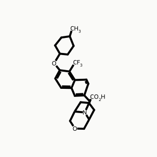 CC1CCC(Oc2ccc3cc(CN4C5COCC4CC(C(=O)O)C5)ccc3c2C(F)(F)F)CC1